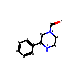 O=[C]N1CCNC(c2ccccc2)C1